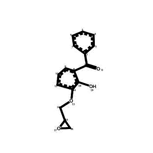 O=C(c1ccccc1)c1cccc(OCC2CO2)c1O